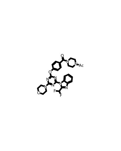 CC(=O)N1CCN(C(=O)c2ccc(Oc3nc(N4CCOCC4)nc(-n4c(C(F)F)nc5ccccc54)n3)cc2)CC1